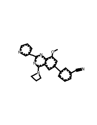 COc1cc(-c2cccc(C#N)c2)cc2c(N3CCC3)nc(-c3cccnc3)nc12